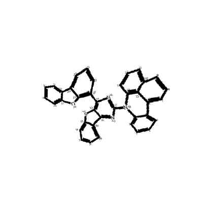 c1ccc2c(c1)-c1cccc3cccc(c13)N2c1nc(-c2cccc3c2oc2ccccc23)c2sc3ccccc3c2n1